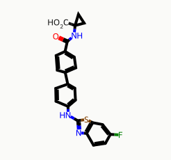 O=C(NC1(C(=O)O)CC1)c1ccc(-c2ccc(Nc3nc4ccc(F)cc4s3)cc2)cc1